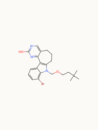 C[Si](C)(C)CCOCn1c2c(c3cccc(Br)c31)-c1nc(O)ncc1CCC2